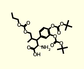 CCCOC(=O)OCC(C)C(c1ccc(OC(=O)OC(C)(C)C)c(OC(=O)OC(C)(C)C)c1)[C@H](N)C(=O)O